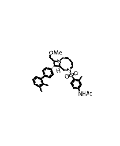 COCC1[C@@H](c2ccc(-c3cccc(C)c3C)cc2)[C@@H]2CN(S(=O)(=O)c3ccc(NC(C)=O)cc3C)CCCCN12